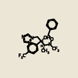 C[C@@H](N(OCc1ccccc1)C(F)(F)F)[C@](O)(Cn1cncn1)c1ccc(C(F)(F)F)cc1